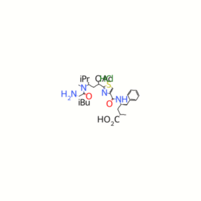 CC[C@H](C)[C@H](N)C(=O)N(C)[C@H](C[C@@H](OC(C)=O)c1nc(C(=O)N[C@@H](Cc2ccccc2)C[C@H](C)C(=O)O)cs1)C(C)C.Cl